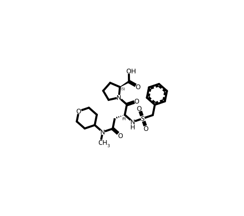 CN(C(=O)C[C@@H](NS(=O)(=O)Cc1ccccc1)C(=O)N1CCC[C@H]1C(=O)O)C1CCOCC1